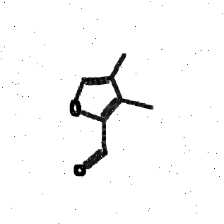 Cc1coc(C=O)c1C